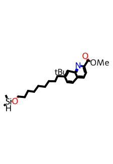 COC(=O)c1ccc2ccc(C(CCCCCCCCO[SiH](C)C)C(C)(C)C)cc2n1